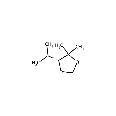 CC(C)[C@H]1OCOC1(C)C